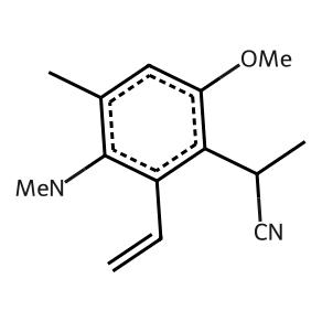 C=Cc1c(NC)c(C)cc(OC)c1C(C)C#N